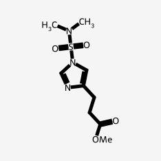 COC(=O)CCc1cn(S(=O)(=O)N(C)C)cn1